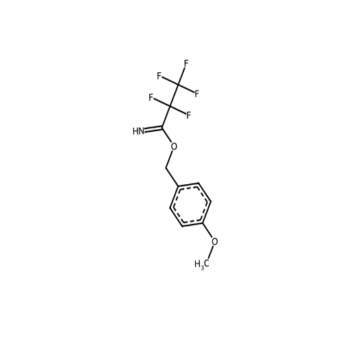 COc1ccc(COC(=N)C(F)(F)C(F)(F)F)cc1